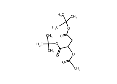 CC(=O)OC(CC(=O)OC(C)(C)C)C(=O)OC(C)(C)C